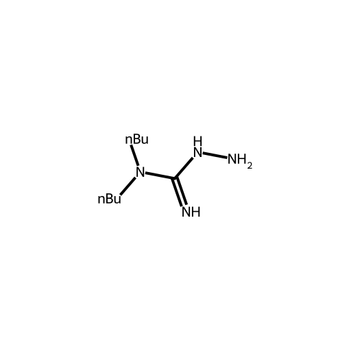 CCCCN(CCCC)C(=N)NN